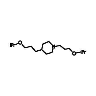 CC(C)OCCCC1CCN(CCCOC(C)C)CC1